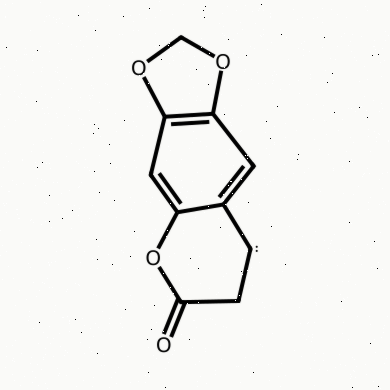 O=C1C[C]c2cc3c(cc2O1)OCO3